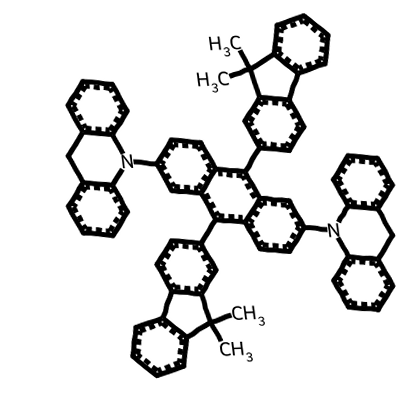 CC1(C)c2ccccc2-c2ccc(-c3c4ccc(N5c6ccccc6Cc6ccccc65)cc4c(-c4ccc5c(c4)C(C)(C)c4ccccc4-5)c4ccc(N5c6ccccc6Cc6ccccc65)cc34)cc21